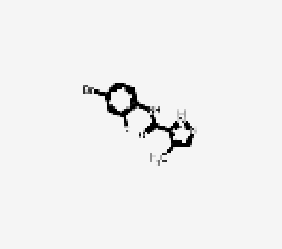 Cc1cn[nH]c1C(=O)Nc1ccc(Br)cc1F